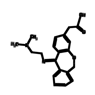 CN(C)CC/N=C1/c2ccccc2COc2cc(CC(=O)O)ccc21